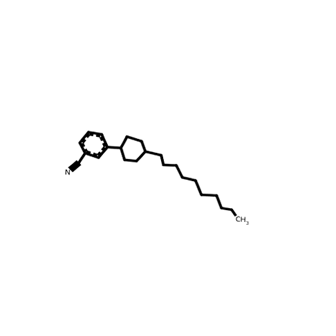 CCCCCCCCCCC1CCC(c2cccc(C#N)c2)CC1